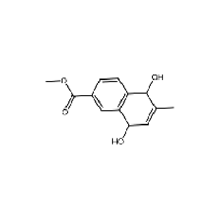 COC(=O)c1ccc2c(c1)C(O)C=C(C)C2O